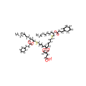 CCCCCCC(CSCCCCCC1(CCCCCSCC(CCCCCC)OC(=O)CCC2CCCCC2)OCC(CCO)O1)OC(=O)CCC1CCCCC1